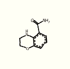 NC(=O)c1cccc2c1NCCO2